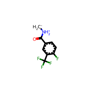 [CH2-][NH2+]C(=O)c1ccc(F)c(C(F)(F)F)c1